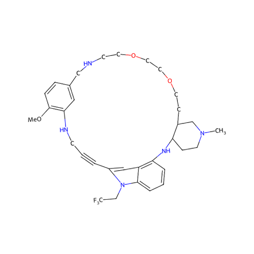 COc1ccc2cc1NCC#Cc1cc3c(cccc3n1CC(F)(F)F)NC1CCN(C)CC1CCOCCOCCNC2